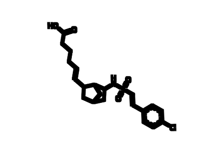 O=C(O)CCCC=CC1CC2CC(NS(=O)(=O)C=Cc3ccc(Cl)cc3)C1C2